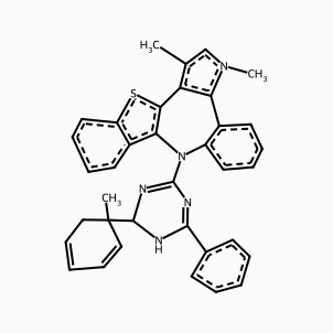 Cc1cn(C)c2c1-c1sc3ccccc3c1N(C1=NC(C3(C)C=CC=CC3)NC(c3ccccc3)=N1)c1ccccc1-2